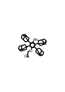 CC(C)(C)c1c(C23CC4CC(CC(C4)C2)C3)c(C23CC4CC(CC(C4)C2)C3)c(OCC2CO2)c(C23CC4CC(CC(C4)C2)C3)c1C12CC3CC(CC(C3)C1)C2